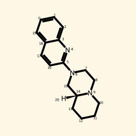 c1ccc2nc(N3CCN4CCCC[C@@H]4C3)ccc2c1